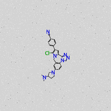 CN(C)C1CCN(c2ccc3c(c2)Cn2c(cc(-c4ccc(C#N)cc4)c2Cl)-c2nncn2-3)C1